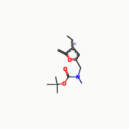 C=c1oc(CN(C)C(=O)OC(C)(C)C)c/c1=C/C